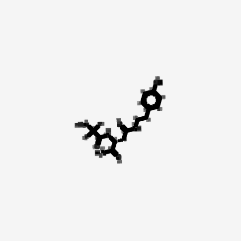 CCCCCCC(F)(F)C(=O)N[C@H](CC(=O)NCCc1ccc(O)cc1)C(N)=O